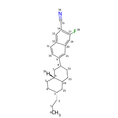 CCC[C@@H]1CC[C@@H]2CC(c3ccc4cc(C#N)c(F)cc4c3)CCC2C1